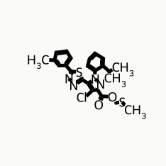 CSCOC(=O)c1nn(-c2ccccc2C(C)C)c(-c2nnc(-c3cccc(C)c3)s2)c1Cl